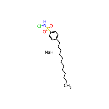 CCCCCCCCCCCCc1ccc(S(=O)(=O)NCl)cc1.[NaH]